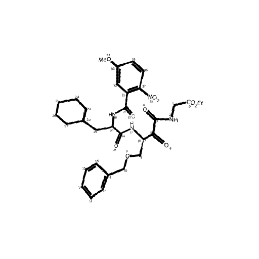 CCOC(=O)CNC(=O)C(=O)[C@@H](COCc1ccccc1)NC(=O)C(CC1CCCCC1)NC(=O)c1cc(OC)ccc1[N+](=O)[O-]